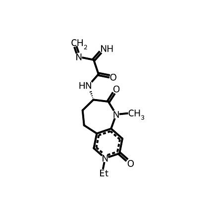 C=NC(=N)C(=O)N[C@H]1CCc2cn(CC)c(=O)cc2N(C)C1=O